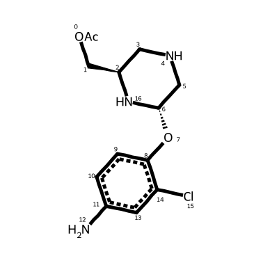 CC(=O)OC[C@H]1CNC[C@H](Oc2ccc(N)cc2Cl)N1